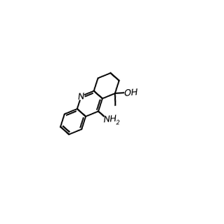 CC1(O)CCCc2nc3ccccc3c(N)c21